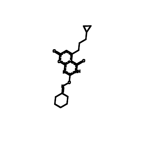 O=c1cc(CCCC2CC2)c2c(=O)[nH]c(ON=C3CCCCC3)nc2o1